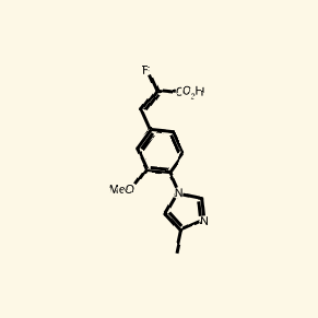 COc1cc(/C=C(/F)C(=O)O)ccc1-n1cnc(C)c1